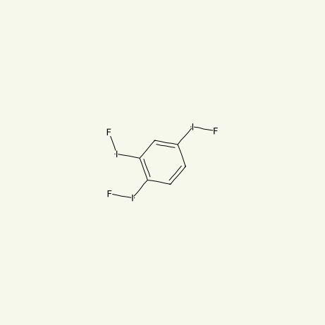 F[I]c1ccc([I]F)c([I]F)c1